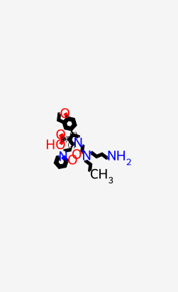 CCCCN(CCCCN)C(=O)CN1C[C@H](c2ccc3c(c2)CCO3)[C@@H](C(=O)O)[C@@H]1CCn1ccccc1=O